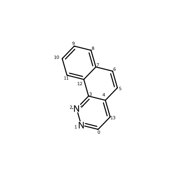 C1=N[N+]=c2c(ccc3ccccc23)=C1